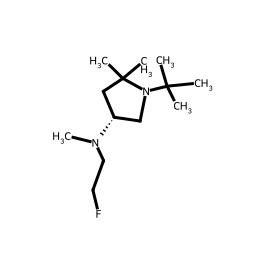 CN(CCF)[C@H]1CN(C(C)(C)C)C(C)(C)C1